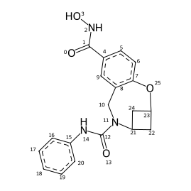 O=C(NO)c1ccc2c(c1)CN(C(=O)Nc1ccccc1)C1CC(C1)O2